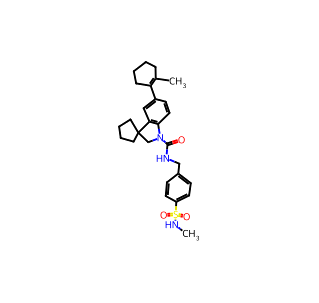 CNS(=O)(=O)c1ccc(CNC(=O)N2CC3(CCCC3)c3cc(C4=C(C)CCCC4)ccc32)cc1